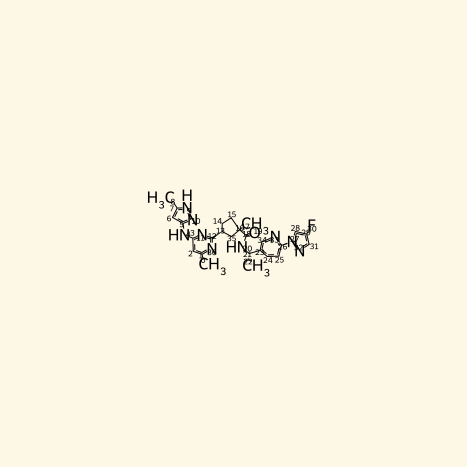 Cc1cc(Nc2cc(C)[nH]n2)nc([C@H]2CC[C@](C)(C(=O)N[C@@H](C)c3ccc(-n4cc(F)cn4)nc3)C2)n1